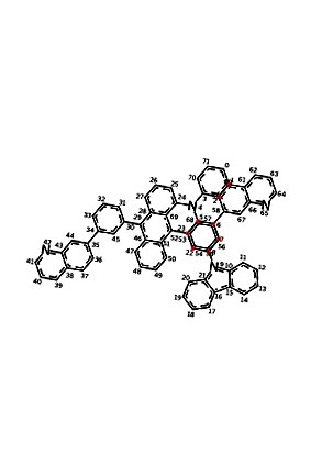 c1ccc(N(c2ccc(-n3c4ccccc4c4ccccc43)cc2)c2cccc3c(-c4cccc(-c5ccc6cccnc6c5)c4)c4ccccc4c(-c4cccc(-c5ccc6cccnc6c5)c4)c23)cc1